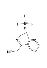 C[N+]1=C(CC#N)c2ccccc2CC1.F[B-](F)(F)F